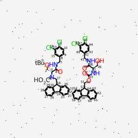 CC(C)(C)OC[C@H](C(=O)NCc1ccc(Cl)c(Cl)c1)N(CC1c2ccccc2-c2ccccc21)C(=O)O.O=C(N[C@H](CO)C(=O)NCc1ccc(Cl)c(Cl)c1)OCC1c2ccccc2-c2ccccc21